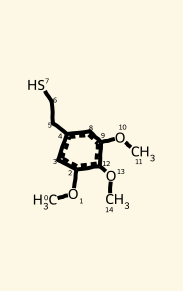 COc1cc(CCS)cc(OC)c1OC